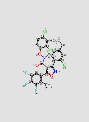 CCN(Oc1ccc(Cl)cc1Cl)C(=O)c1c(-c2ccc(CC(=O)O)cc2Cl)noc1-c1cc(F)c(F)c(F)c1C